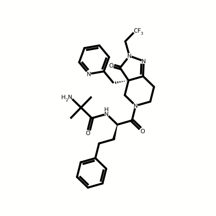 CC(C)(N)C(=O)N[C@H](CCc1ccccc1)C(=O)N1CCC2=NN(CC(F)(F)F)C(=O)[C@]2(Cc2ccccn2)C1